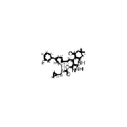 CC1(C)CC(=O)C2=C(C1)Nc1[nH]nc(OC(=O)NCC3CC3)c1C2/C=C/c1ccc(-c2cccc(F)c2)cn1